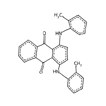 Cc1ccccc1Nc1ccc(Nc2ccccc2C)c2c1C(=O)c1ccccc1C2=O